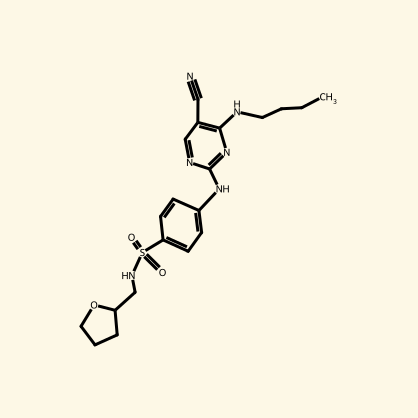 CCCCNc1nc(Nc2ccc(S(=O)(=O)NCC3CCCO3)cc2)ncc1C#N